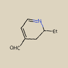 CCC1CC(C=O)=CC=N1